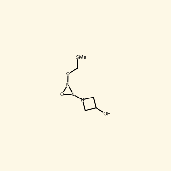 CSCOn1on1N1CC(O)C1